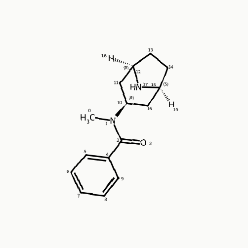 CN(C(=O)c1ccccc1)[C@H]1C[C@H]2CC[C@@H](C1)N2